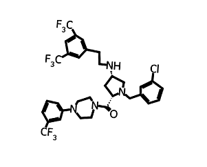 O=C([C@@H]1C[C@H](NCCc2cc(C(F)(F)F)cc(C(F)(F)F)c2)CN1Cc1cccc(Cl)c1)N1CCN(c2cccc(C(F)(F)F)c2)CC1